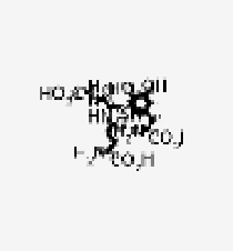 NC(CCC(=O)NC(CS)C(=O)NCC(=O)O)C(=O)O.NC(Cc1ccc(O)c(O)c1)C(=O)O